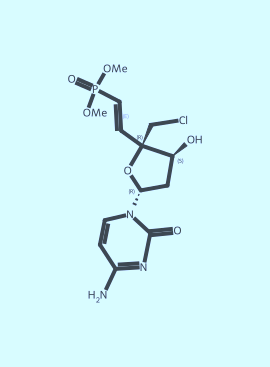 COP(=O)(/C=C/[C@@]1(CCl)O[C@@H](n2ccc(N)nc2=O)C[C@@H]1O)OC